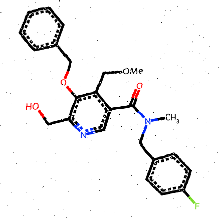 COCc1c(C(=O)N(C)Cc2ccc(F)cc2)cnc(CO)c1OCc1ccccc1